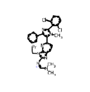 CC(C)Cn1c(/N=C\N(C)C)nc2ccc(-c3c(-c4ccccc4)nc(-c4c(Cl)cccc4Cl)n3C)nc21